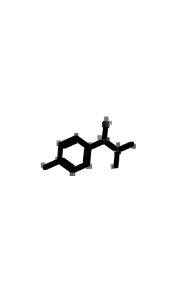 Cc1ccc([S+]([O-])N(C)C)cc1